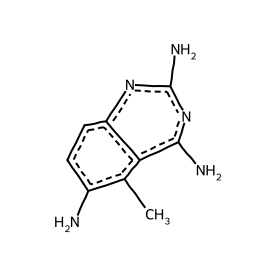 Cc1c(N)ccc2nc(N)nc(N)c12